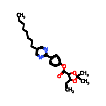 C=CC1OC(C)(C)OC1C(=O)Oc1ccc(-c2ncc(CCCCCCCC)cn2)cc1